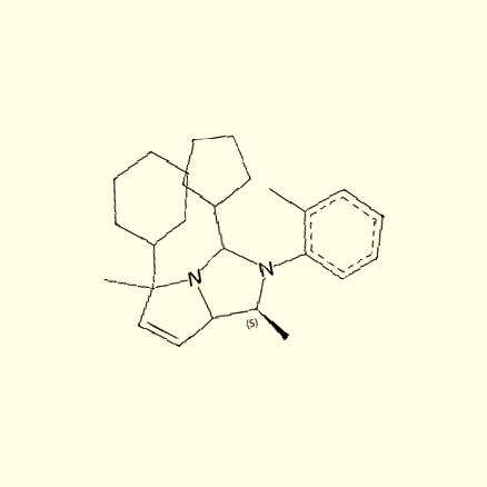 Cc1ccccc1N1C(C2CCCC2)N2C(C=CC2(C)C2CCCCC2)[C@@H]1C